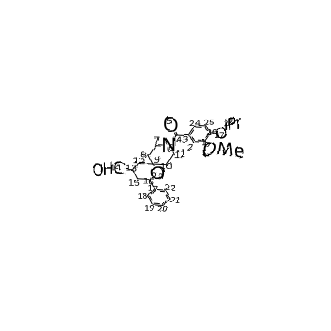 COc1cc(C(=O)N2CCC3(CC2)CC(C=O)CC(c2ccccc2)O3)ccc1OC(C)C